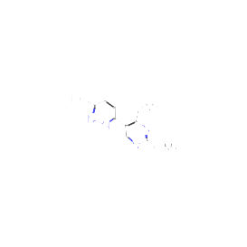 COc1ncc(-c2ccc(C)nn2)c(OC)n1